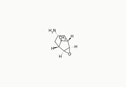 C=C1[C@H]2C[C@H](N)C[C@@H]1[C@H]1O[C@H]12